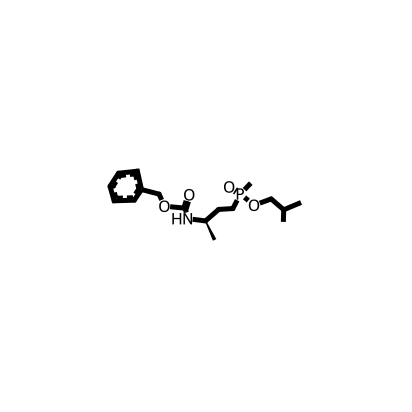 CC(C)COP(C)(=O)CC[C@@H](C)NC(=O)OCc1ccccc1